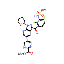 CCCS(=O)(=O)Nc1c(F)ccc(C(=O)c2nn(C3CCCCO3)c3ncc(-c4cnc(C(=O)OC)nc4)cc23)c1F